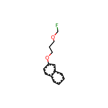 FCOCCCOc1ccc2ccccc2c1